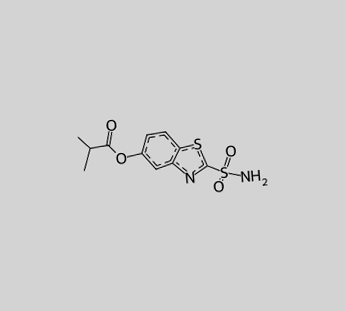 CC(C)C(=O)Oc1ccc2sc(S(N)(=O)=O)nc2c1